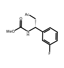 COC(=O)N[C@H](CC(C)=O)c1cccc(F)c1